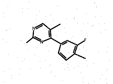 Cc1ncc(C)c(-c2ccc(C)c(F)c2)n1